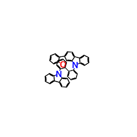 c1ccc(-n2c3ccccc3c3ccccc32)c(-c2ccccc2-n2c3ccccc3c3ccc4c5ccccc5oc4c32)c1